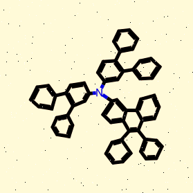 c1ccc(-c2ccc(N(c3ccc(-c4ccccc4)c(-c4ccccc4)c3)c3ccc4c(-c5ccccc5)c(-c5ccccc5)c5ccccc5c4c3)cc2-c2ccccc2)cc1